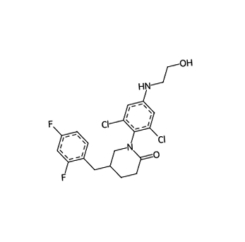 O=C1CCC(Cc2ccc(F)cc2F)CN1c1c(Cl)cc(NCCO)cc1Cl